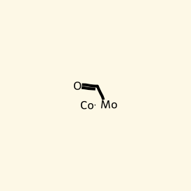 O=[CH][Mo].[Co]